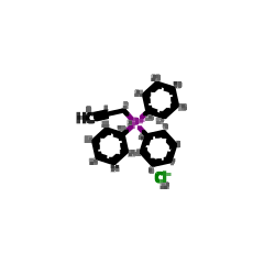 C#CC[P+](c1ccccc1)(c1ccccc1)c1ccccc1.[Cl-]